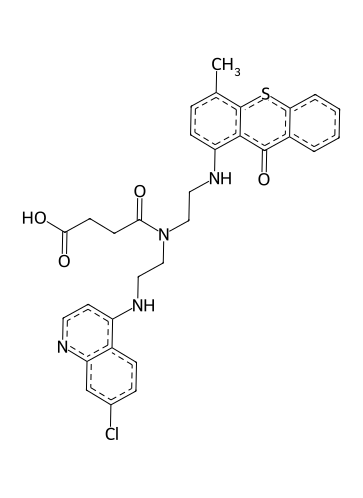 Cc1ccc(NCCN(CCNc2ccnc3cc(Cl)ccc23)C(=O)CCC(=O)O)c2c(=O)c3ccccc3sc12